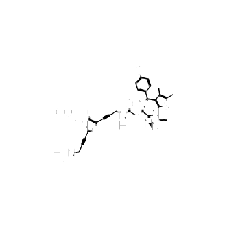 CCOC(=O)c1nc(C#CCN)oc1C#CCNC(=O)C[C@@H]1N=C(c2ccc(Cl)cc2)c2c(sc(C)c2C)-n2c(C)nnc21